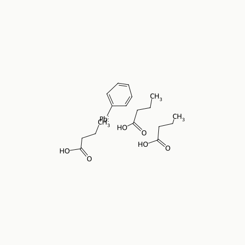 CCCC(=O)O.CCCC(=O)O.CCCC(=O)O.[Pb][c]1ccccc1